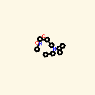 c1ccc(-c2cccc(N(c3ccc(-c4ccc5oc6ccc7oc(-c8ccccc8)nc7c6c5c4)cc3)c3cc4ccccc4c4ccccc34)c2)cc1